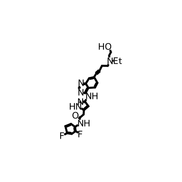 CCN(CCO)CCC#Cc1ccc2c(Nc3cc(CC(=O)Nc4ccc(F)cc4F)[nH]n3)ncnc2c1